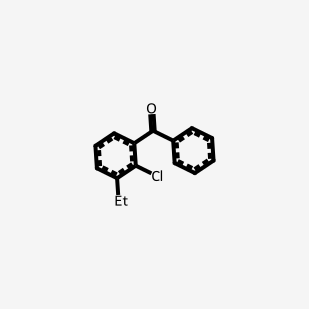 CCc1cccc(C(=O)c2ccccc2)c1Cl